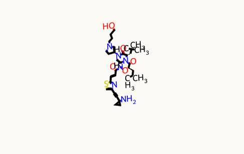 CC(C)C[C@H]1ON(C(=O)/C=C/c2nc(C#CC3(N)CC3)cs2)[C@H]2CN([C@H]3CCN(CCCCO)C3)C(=O)[C@H](CC(C)(C)C)N2C1=O